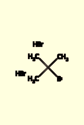 Br.Br.[B]C(C)(C)C